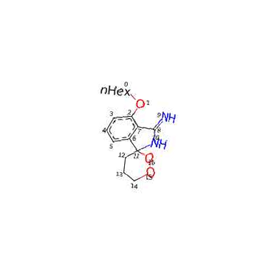 CCCCCCOc1cccc2c1C(=N)NC21CCCOO1